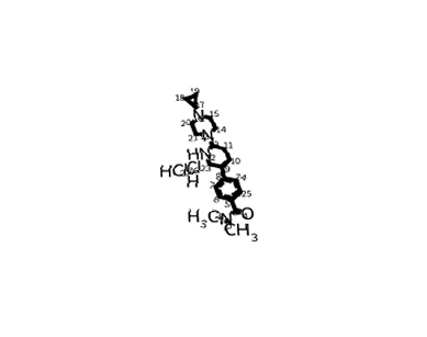 CN(C)C(=O)c1ccc(C2CCC(N3CCN(C4CC4)CC3)NC2)cc1.Cl.Cl